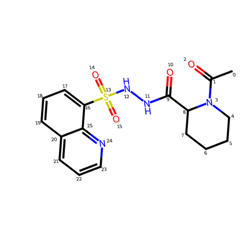 CC(=O)N1CCCCC1C(=O)NNS(=O)(=O)c1cccc2cccnc12